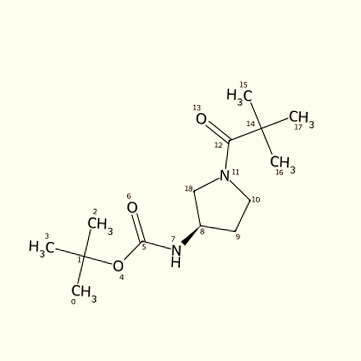 CC(C)(C)OC(=O)N[C@@H]1CCN(C(=O)C(C)(C)C)C1